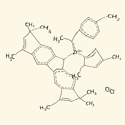 CC1=CC(C)[C](/[Zr+2](=[C](/C)c2ccc(C)cc2)[CH]2c3cc4c(cc3-c3cc5c(cc32)C(C)(C)C=C5C)C(C)=CC4(C)C)=C1.[Cl-].[Cl-]